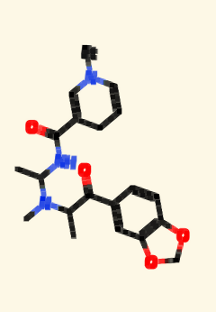 CCN1C=CCC(C(=O)NC(C)N(C)C(C)C(=O)c2ccc3c(c2)OCO3)=C1